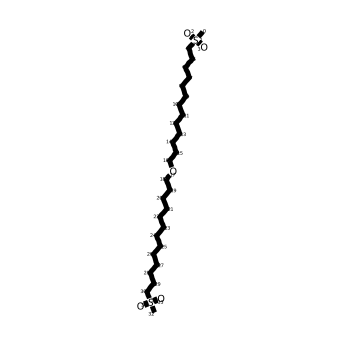 CS(=O)(=O)CCCCCCCCCCCCCOCCCCCCCCCCCCCS(C)(=O)=O